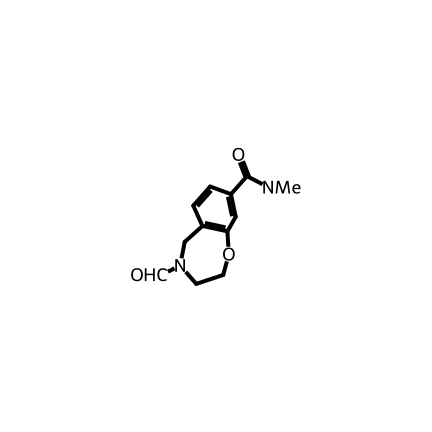 CNC(=O)c1ccc2c(c1)OCCN(C=O)C2